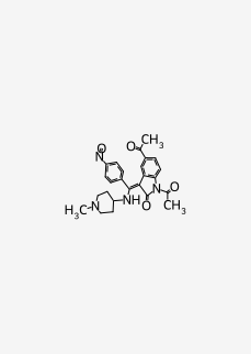 CC(=O)c1ccc2c(c1)/C(=C(/NC1CCN(C)CC1)c1ccc(N=O)cc1)C(=O)N2C(C)=O